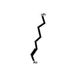 CCCCCCCC=C[As]